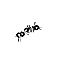 O=C1CCc2cc(N3CC[C@](O)(C(=O)NCc4c(F)cc(Cl)cc4F)C3=O)ccc2N1